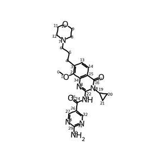 COc1c(CCCN2CCOCC2)ccc2c(=O)n(C3CC3)c(NC(=O)c3cnc(N)nc3)nc12